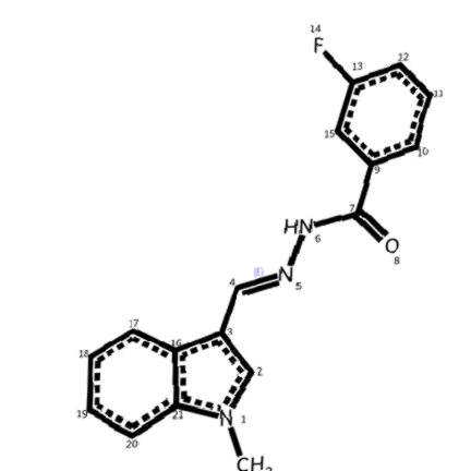 Cn1cc(/C=N/NC(=O)c2cccc(F)c2)c2ccccc21